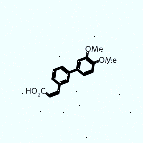 COc1ccc(-c2cccc(/C=C\C(=O)O)c2)cc1OC